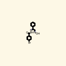 O=C(N/N=C(\C=N\O)c1ccccc1)c1ccc(Br)cc1